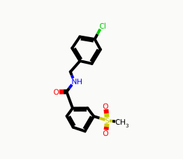 CS(=O)(=O)c1cccc(C(=O)NCc2ccc(Cl)cc2)c1